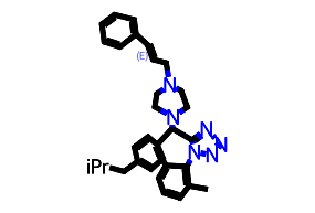 Cc1cccc(C)c1-n1nnnc1C(c1ccc(CC(C)C)cc1)N1CCN(C/C=C/c2ccccc2)CC1